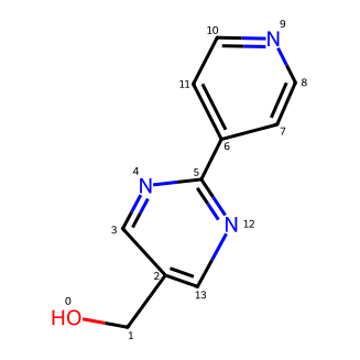 OCc1cnc(-c2ccncc2)nc1